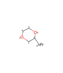 CCCC1[CH]OCCO1